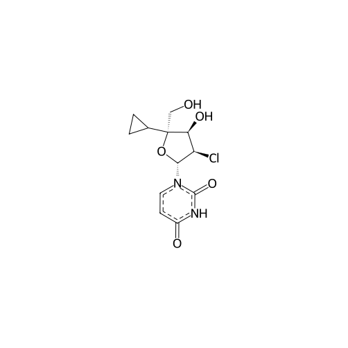 O=c1ccn([C@@H]2O[C@@](CO)(C3CC3)[C@@H](O)[C@H]2Cl)c(=O)[nH]1